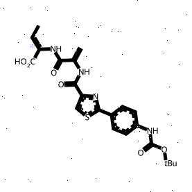 C=C(NC(=O)c1csc(-c2ccc(NC(=O)OC(C)(C)C)cc2)n1)C(=O)N/C(=C\C)C(=O)O